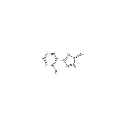 Fc1ccccc1C1=NC(=S)N=N1